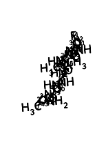 Cc1ccc(NC(=O)c2ccc(NCCNC(=O)c3c(C)[nH]c(/C=N/N=C4\C(=O)Nc5ccc(F)cc54)c3C)nc2)c(N)c1